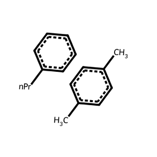 CCCc1ccccc1.Cc1ccc(C)cc1